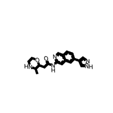 CC1NCCOC1CC(=O)Nc1cc2cc(-c3cn[nH]c3)ccc2cn1